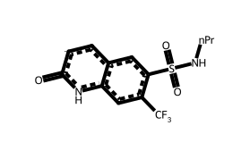 CCCNS(=O)(=O)c1cc2c[c]c(=O)[nH]c2cc1C(F)(F)F